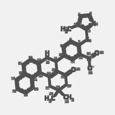 Cn1ccnc1Sc1ccc(C2Nc3ccc4ccccc4c3C3=C2C(=O)CC(C)(C)C3)cc1[N+](=O)[O-]